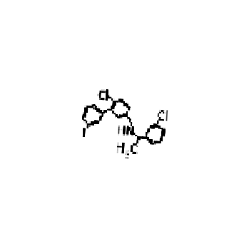 CC(NCc1ccc(Cl)c(-c2cccc(F)c2)c1)c1cccc(Cl)c1